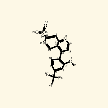 COc1cc(C(F)(F)F)ccc1-c1ccnc2cc([SH](=O)=O)ncc12